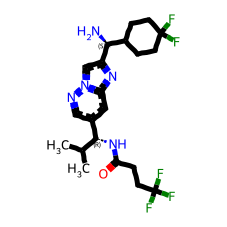 CC(C)[C@@H](NC(=O)CCC(F)(F)F)c1cnn2cc([C@@H](N)C3CCC(F)(F)CC3)nc2c1